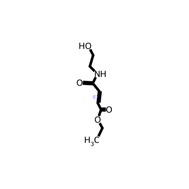 CCOC(=O)/C=C/C(=O)NCCO